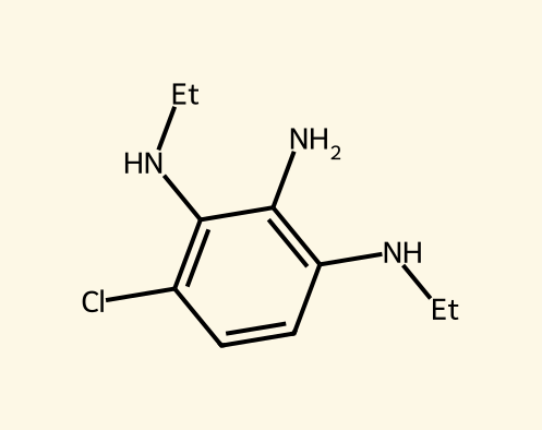 CCNc1ccc(Cl)c(NCC)c1N